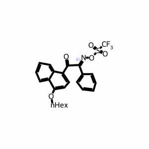 CCCCCCOc1ccc(C(=O)/C(=N/OS(=O)(=O)C(F)(F)F)c2ccccc2)c2ccccc12